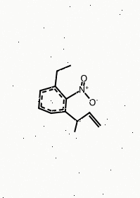 C=C[C](C)c1cccc(CC)c1[N+](=O)[O-]